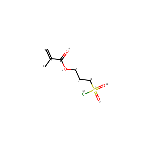 C=C(C)C(=O)OCCCS(=O)(=O)Cl